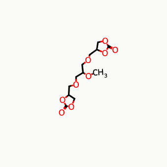 COC(COCC1COC(=O)O1)COCC1COC(=O)O1